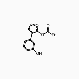 CCC(=O)Oc1occc1-c1cccc(O)c1